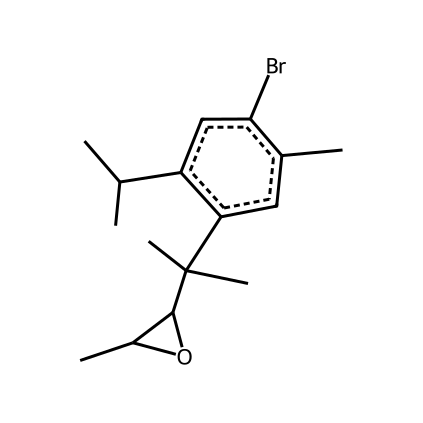 Cc1cc(C(C)(C)C2OC2C)c(C(C)C)cc1Br